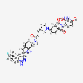 CN(C(=O)CC[C@@H]1CCN(c2ccc3c(c2)C(=O)N(C2CCC(=O)NC2=O)C3=O)C1)c1ccc2cc(-c3n[nH]c4c3C[C@@H]3C(F)(F)[C@]3(C)C4)[nH]c2c1